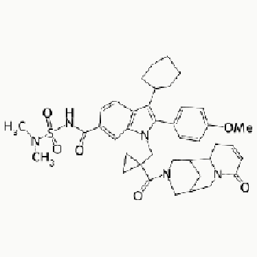 COc1ccc(-c2c(C3CCCCC3)c3ccc(C(=O)NS(=O)(=O)N(C)C)cc3n2CC2(C(=O)N3CC4CC(C3)C3CC=CC(=O)N3C4)CC2)cc1